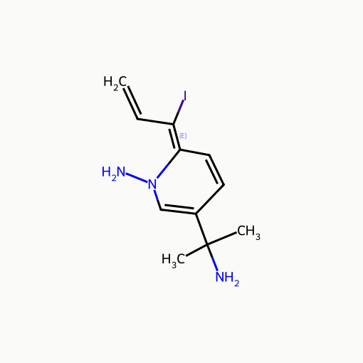 C=C/C(I)=C1/C=CC(C(C)(C)N)=CN1N